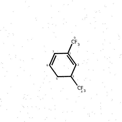 FC(F)(F)C1=CC(C(F)(F)F)CC=C1